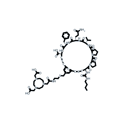 CCCCNC(=O)N[C@H]1CSCc2cc(CSCCNC(=O)CN3CCN(CC(=O)O)CCN(CC(=O)O)CC3)cc(c2)CSC[C@@H](C(=O)O)NC(=O)[C@H](Cc2ccccc2)NC(=O)[C@H](CCC(N)=O)NC(=O)[C@H](C(C)C)NC(=O)[C@@H]2CCCN2C(=O)[C@@H]2CCCN2C1=O